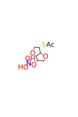 CC(=O)S[C@H]1COC2C1OC[C@H]2ON(O)O